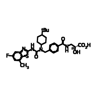 Cc1cc(F)cc2nc(NC(=O)N(Cc3ccc(C(=O)NC[C@@H](O)C(=O)O)cc3)C3CCC(C(C)(C)C)CC3)sc12